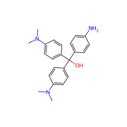 CN(C)c1ccc(C(O)(c2ccc(N)cc2)c2ccc(N(C)C)cc2)cc1